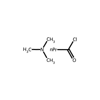 CCCC(=O)Cl.CN(C)C